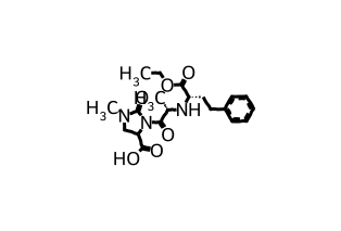 CCOC(=O)[C@H](CCc1ccccc1)N[C@@H](C)C(=O)N1C(=O)N(C)CC1C(=O)O